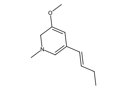 CC/C=C/C1=CN(C)CC(OC)=C1